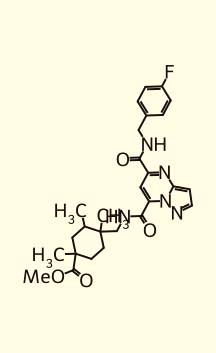 COC(=O)C1(C)CCC(C)(CNC(=O)c2cc(C(=O)NCc3ccc(F)cc3)nc3ccnn23)C(C)C1